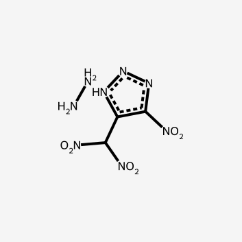 NN.O=[N+]([O-])c1nn[nH]c1C([N+](=O)[O-])[N+](=O)[O-]